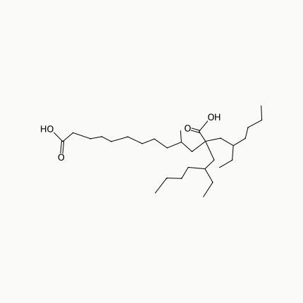 CCCCC(CC)CC(CC(C)CCCCCCCCC(=O)O)(CC(CC)CCCC)C(=O)O